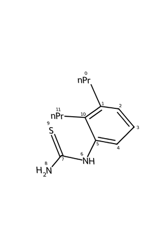 CCCc1cccc(NC(N)=S)c1CCC